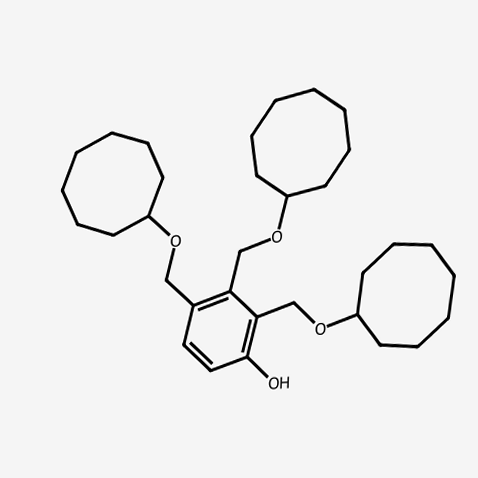 Oc1ccc(COC2CCCCCCC2)c(COC2CCCCCCC2)c1COC1CCCCCCC1